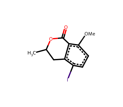 COc1ccc(I)c2c1C(=O)OC(C)C2